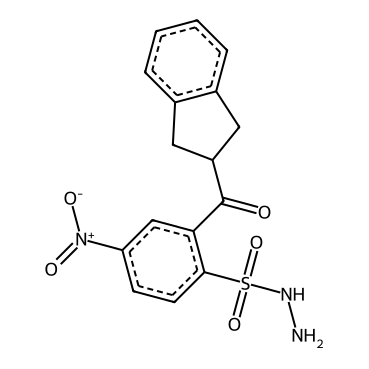 NNS(=O)(=O)c1ccc([N+](=O)[O-])cc1C(=O)C1Cc2ccccc2C1